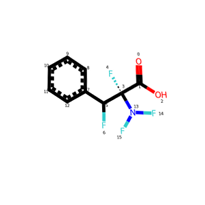 O=C(O)[C@](F)(C(F)c1ccccc1)N(F)F